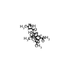 Cc1cc(C(=O)Nc2nc3cc(C(N)=O)c4oc(C)cc4c3n2C(C)(C)C)[nH]n1